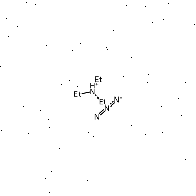 CC[NH+](CC)CC.[N-]=[N+]=[N-]